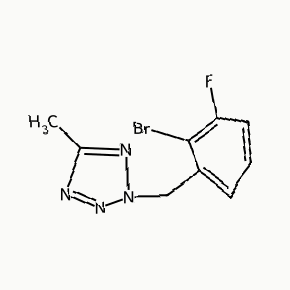 Cc1nnn(Cc2cccc(F)c2Br)n1